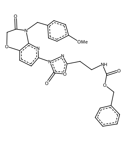 COc1ccc(CN2C(=O)COc3ccc(-n4nc(CCNC(=O)OCc5ccccc5)oc4=O)nc32)cc1